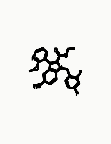 CCOC(=O)c1c(-c2cccnc2OC)c2cc(O)ccc2n1Cc1ccc(F)cc1F